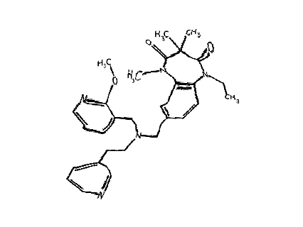 CCN1C(=O)C(C)(C)C(=O)N(C)c2cc(CN(CCc3cccnc3)Cc3cccnc3OC)ccc21